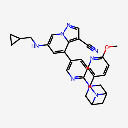 COc1ccc(CN2C3CC2CN(c2ccc(-c4cc(NCC5CC5)cn5ncc(C#N)c45)cn2)C3)cn1